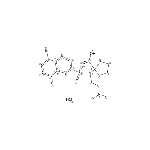 CN(C)CCN(C1(C(=O)O)CCCC1)S(=O)(=O)c1ccc2c(Br)cnc(Cl)c2c1.Cl